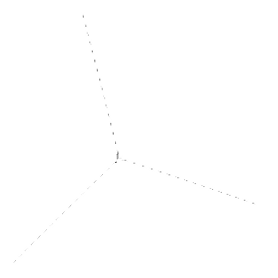 C#CC#CC#CC#CC#CC#CC#CC#CC#CC#CC#CC#CC#CC#CC#CC#CC#CB(C#CC#CC#CC#CC#CC#CC#CC#CC#CC#CC#CC#CC#CC#CC#CC#CC)C#CC#CC#CC#CC#CC#CC#CC#CC#CC#CC#CC#CC#CC#CC#CC#CC